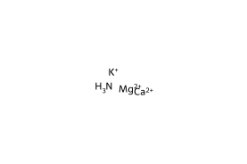 N.[Ca+2].[K+].[Mg+2]